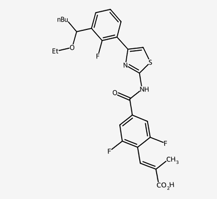 CCCCC(OCC)c1cccc(-c2csc(NC(=O)c3cc(F)c(C=C(C)C(=O)O)c(F)c3)n2)c1F